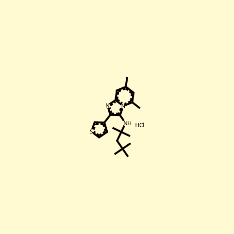 Cc1cc(C)n2c(NC(C)(C)CC(C)(C)C)c(-c3ccsc3)nc2c1.Cl